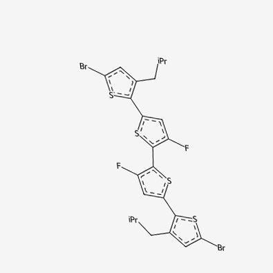 CC(C)Cc1cc(Br)sc1-c1cc(F)c(-c2sc(-c3sc(Br)cc3CC(C)C)cc2F)s1